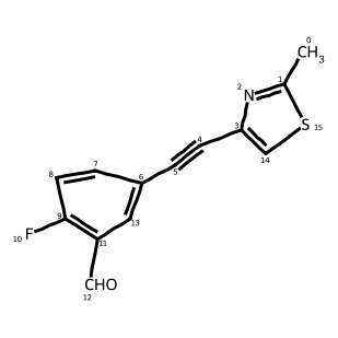 Cc1nc(C#Cc2ccc(F)c(C=O)c2)cs1